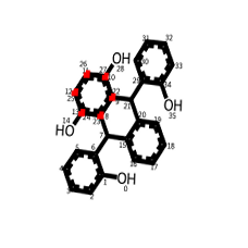 Oc1ccccc1C(c1ccccc1O)c1ccccc1C(c1ccccc1O)c1ccccc1O